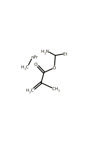 C=C(C)C(=O)OC(N)CC.CCCC